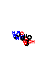 NC(=O)C(c1cnccn1)[N+]12CCC(CC1)[C@@H](OC(=O)C(O)(c1ccco1)C1CCCCC1)C2